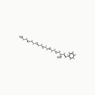 OCCOCCOCCOCCOCCOCC(O)C=Cc1ccccc1